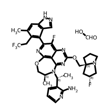 Cc1cc2[nH]ncc2c(-c2nc3c4c(nc(OC[C@@]56CCCN5C[C@H](F)C6)nc4c2F)N([C@H](C)c2cccnc2N)[C@@H](C)CO3)c1CC(F)(F)F.O=CO